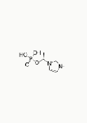 CC(OP(=O)(O)O)N1C=CN(C)C1